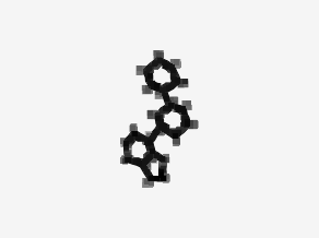 C1=Cc2c(cccc2-c2cccc(-c3ccccc3)c2)C1